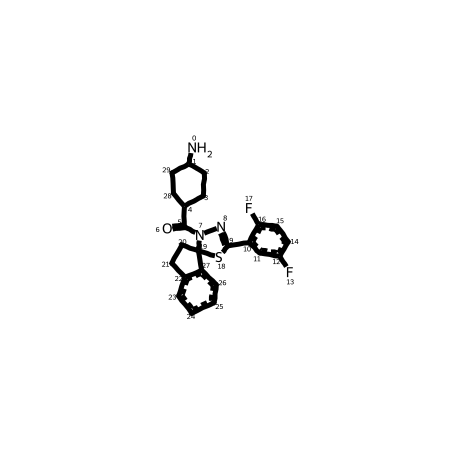 NC1CCC(C(=O)N2N=C(c3cc(F)ccc3F)SC23CCc2ccccc23)CC1